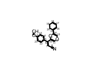 COc1ccc(C(=CC#N)C2=COC=C(C3=CC=CCC3)O2)cc1